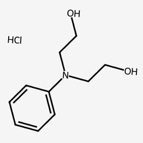 Cl.OCCN(CCO)c1ccccc1